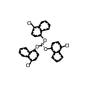 Clc1ccc(OP(Oc2ccc(Cl)c3ccccc23)Oc2ccc(Cl)c3ccccc23)c2ccccc12